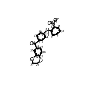 O=C(c1ccc(Nc2ccccc2[N+](=O)[O-])cc1)c1ccc2c(c1)OCCO2